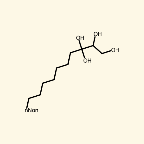 CCCCCCCCCCCCCCCCC(O)(O)C(O)CO